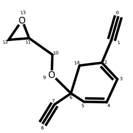 C#CC1=CC=CC(C#C)(OCC2CO2)C1